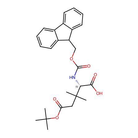 CC(C)(C)OC(=O)CC(C)(C)[C@H](NC(=O)OCC1c2ccccc2-c2ccccc21)C(=O)O